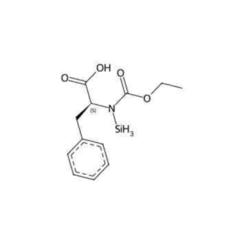 CCOC(=O)N([SiH3])[C@@H](Cc1ccccc1)C(=O)O